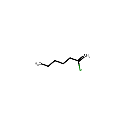 C=C(Br)CCCCC